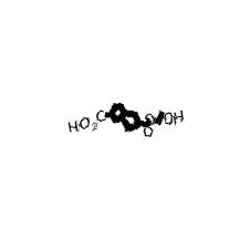 O=C(O)c1ccc2cc(C(=O)OCCO)ccc2c1